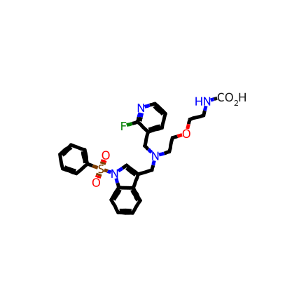 O=C(O)NCCOCCN(Cc1cccnc1F)Cc1cn(S(=O)(=O)c2ccccc2)c2ccccc12